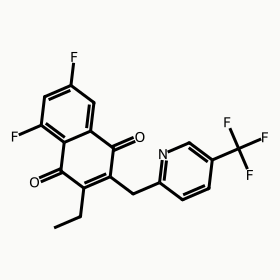 CCC1=C(Cc2ccc(C(F)(F)F)cn2)C(=O)c2cc(F)cc(F)c2C1=O